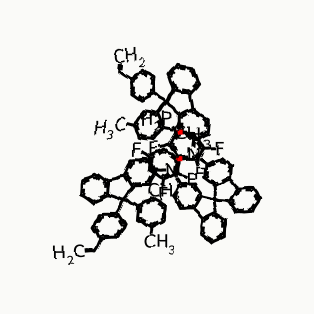 C=Cc1ccc(C2(c3cc(C)ccc3C)c3ccccc3-c3ccc(N(c4ccc5c(c4)C4(c6ccccc6-5)c5ccccc5-c5ccc(N(c6ccc7c(c6)C(c6ccc(C=C)cc6)(c6cc(C)ccc6C)c6ccccc6-7)c6c(F)c(F)cc(P)c6F)cc54)c4cc(F)cc(F)c4F)cc32)cc1